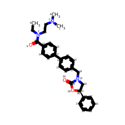 CCN(CCN(C)C)C(=O)c1ccc(-c2ccc(CN3C[C@@H](c4ccccc4)OC3=O)cc2)cc1